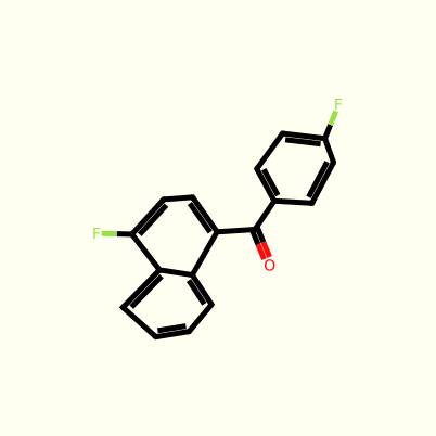 O=C(c1ccc(F)cc1)c1ccc(F)c2ccccc12